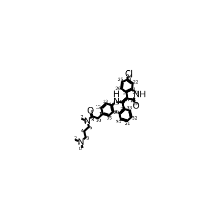 CN(C)CCCN(C)C(=O)Cc1ccc(NC(=C2C(=O)Nc3cc(Cl)ccc32)c2ccccc2)cc1